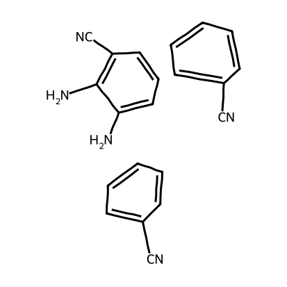 N#Cc1cccc(N)c1N.N#Cc1ccccc1.N#Cc1ccccc1